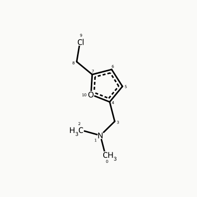 CN(C)Cc1ccc(CCl)o1